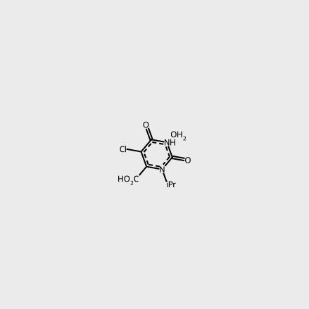 CC(C)n1c(C(=O)O)c(Cl)c(=O)[nH]c1=O.O